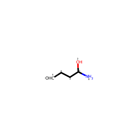 NC(O)CC[C]=O